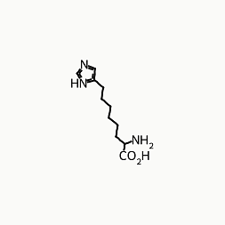 NC(CCCCCCc1cnc[nH]1)C(=O)O